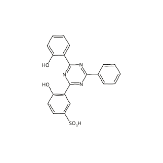 O=S(=O)(O)c1ccc(O)c(-c2nc(-c3ccccc3)nc(-c3ccccc3O)n2)c1